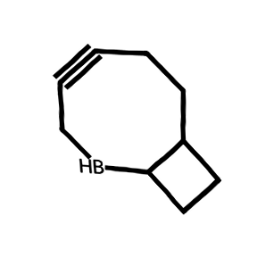 B1CC#CCCC2CCC12